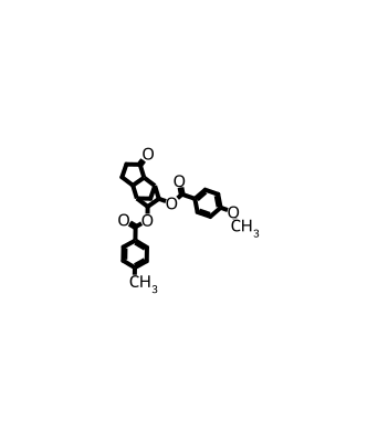 COc1ccc(C(=O)OC2C3CC(C4CCC(=O)C43)C2OC(=O)c2ccc(C)cc2)cc1